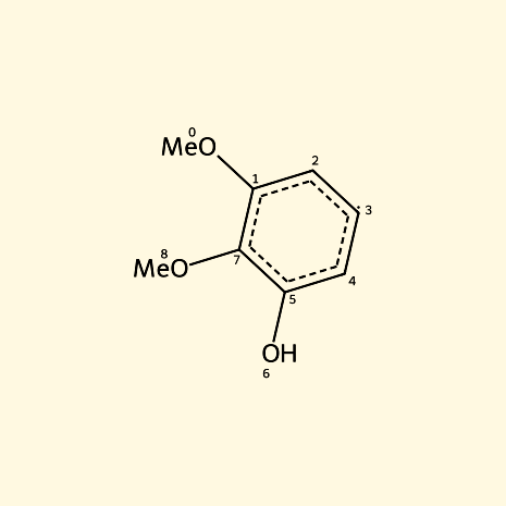 COc1c[c]cc(O)c1OC